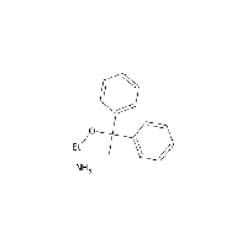 CCOC(C)(c1ccccc1)c1ccccc1.N